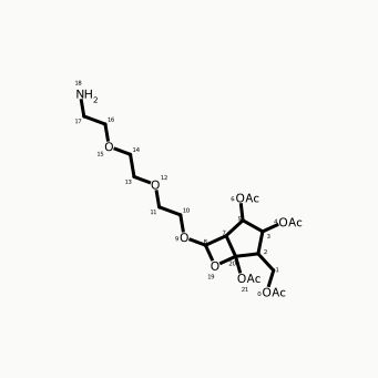 CC(=O)OCC1C(OC(C)=O)C(OC(C)=O)C2C(OCCOCCOCCN)OC12OC(C)=O